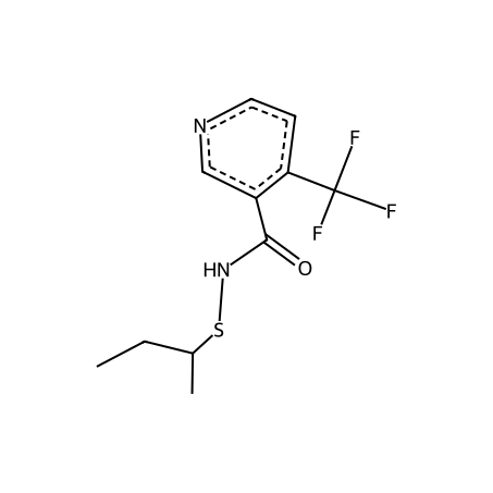 CCC(C)SNC(=O)c1cnccc1C(F)(F)F